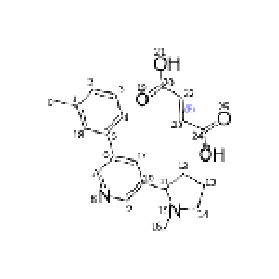 Cc1cccc(-c2cncc(C3CCCN3C)c2)c1.O=C(O)/C=C/C(=O)O